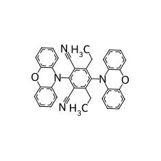 CCc1c(C#N)c(N2c3ccccc3Oc3ccccc32)c(C#N)c(CC)c1N1c2ccccc2Oc2ccccc21